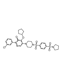 O=c1c(OC2CCCC2)c(N2CCN(S(=O)(=O)c3ccc(S(=O)(=O)N4CCCC4)cc3)CC2)cnn1-c1cccc(Cl)c1